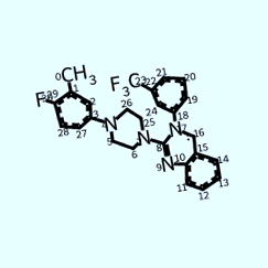 Cc1cc(N2CCN(C3=Nc4ccccc4[C]N3c3cccc(C(F)(F)F)c3)CC2)ccc1F